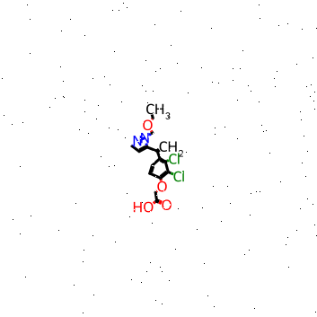 C=C(c1ccc(OCC(=O)O)c(Cl)c1Cl)c1ccnn1COCC